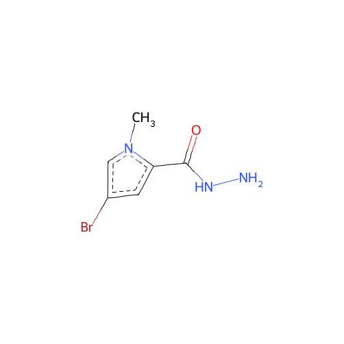 Cn1cc(Br)cc1C(=O)NN